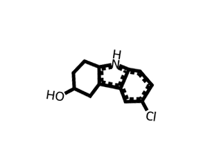 OC1CCc2[nH]c3ccc(Cl)cc3c2C1